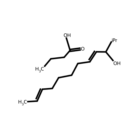 CC=CCCCCC=CC(O)C(C)C.CCCC(=O)O